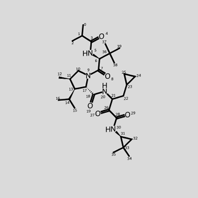 CC(C)C(=O)N[C@H](C(=O)N1C[C@H](C)[C@H](C(C)C)[C@H]1C(=O)NC(CC1CC1)C(=O)C(=O)N[C@H]1CC1(C)C)C(C)(C)C